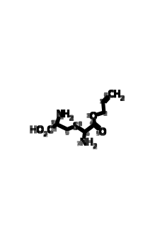 C=CCOC(=O)C(N)SCC(N)C(=O)O